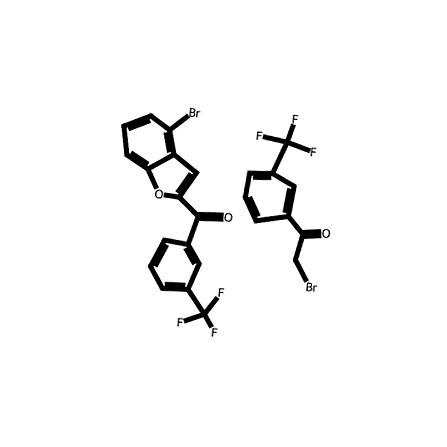 O=C(CBr)c1cccc(C(F)(F)F)c1.O=C(c1cccc(C(F)(F)F)c1)c1cc2c(Br)cccc2o1